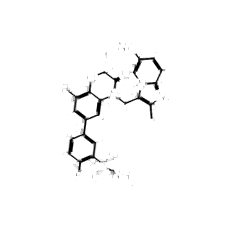 Cc1nc2ccc(C#N)cn2c1CN1C(=O)[C@@H](C)Oc2c(F)cc(-c3ccc(F)c(S(N)(=O)=O)c3)cc21